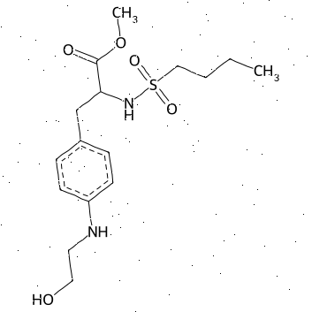 CCCCS(=O)(=O)NC(Cc1ccc(NCCO)cc1)C(=O)OC